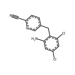 N#Cc1ccc(Cc2c(N)cc(Cl)cc2Cl)cn1